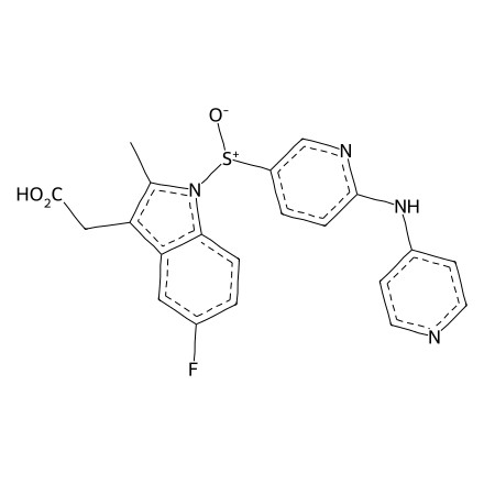 Cc1c(CC(=O)O)c2cc(F)ccc2n1[S+]([O-])c1ccc(Nc2ccncc2)nc1